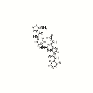 N[C@H]1CCC[C@H]1C(=O)N[C@H]1CC[C@H](Nc2cc(NC3CC3)c3ncc(C(=O)Nc4ccncc4F)n3n2)CC1